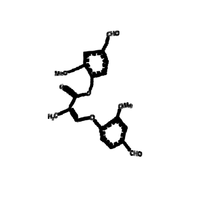 COc1cc(C=O)ccc1OC=C(C)C(=O)Oc1ccc(C=O)cc1OC